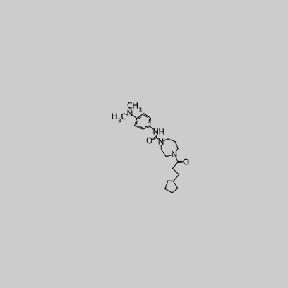 CN(C)c1ccc(NC(=O)N2CCCN(C(=O)CCC3CCCC3)CC2)cc1